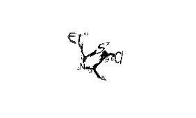 CCc1nc(C)c(Cl)s1